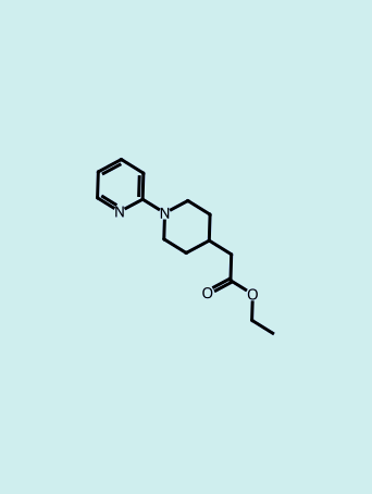 CCOC(=O)CC1CCN(c2ccccn2)CC1